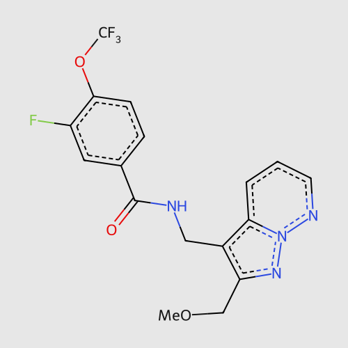 COCc1nn2ncccc2c1CNC(=O)c1ccc(OC(F)(F)F)c(F)c1